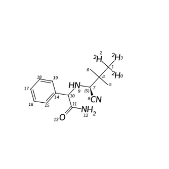 [2H]C([2H])([2H])C(C)(C)[C@@H](C#N)NC(C(N)=O)c1ccccc1